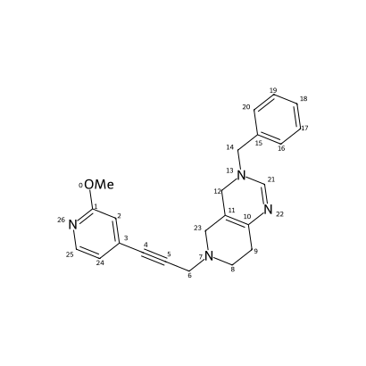 COc1cc(C#CCN2CCC3=C(CN(Cc4ccccc4)C=N3)C2)ccn1